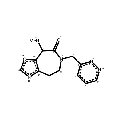 CNC1C(=O)N(Cc2cccnn2)CCc2ncoc21